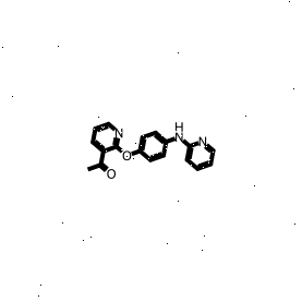 CC(=O)c1cccnc1Oc1ccc(Nc2ccccn2)cc1